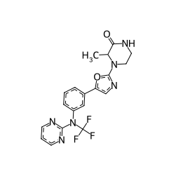 CC1C(=O)NCCN1c1ncc(-c2cccc(N(c3ncccn3)C(F)(F)F)c2)o1